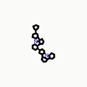 c1ccc(-c2ccc3c(c2)c2cccc4c5c(-c6ccc7c(c6)c6cccc8c9ccccc9n7c86)cccc5n3c24)cc1